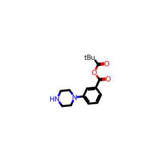 CC(C)(C)C(=O)OC(=O)c1cccc(N2CCNCC2)c1